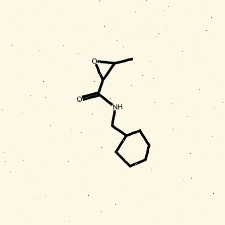 CC1OC1C(=O)NCC1CCCCC1